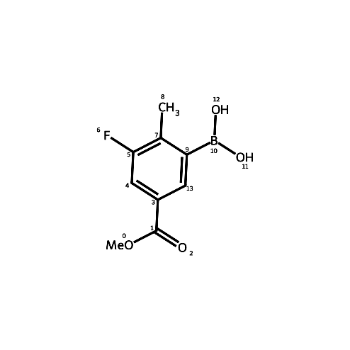 COC(=O)c1cc(F)c(C)c(B(O)O)c1